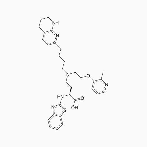 Cc1ncccc1OCCN(CCCCc1ccc2c(n1)NCCC2)CC[C@H](Nc1nc2ccccc2s1)C(=O)O